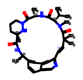 CC(C)[C@H]1C(=O)N[C@@H](C)C(=O)N2CCC[C@H](N2)C(=O)N[C@H](C)c2ccc3cnc(cc3c2)/C=C/C(C)(C)C(=O)N1C